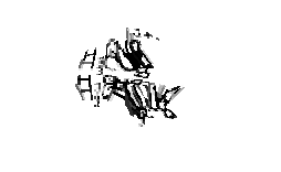 Cc1cc2c3ccccc3c3ccccc3c2nc1C.Cc1cc2c3ccccc3c3ccccc3c2nc1C.Cc1cc2c3ccccc3c3ccccc3c2nc1C.[Ir+2]